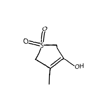 CC1=C(O)CS(=O)(=O)C1